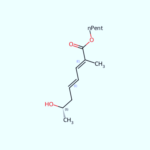 CCCCCOC(=O)/C(C)=C/C=C/C[C@H](C)O